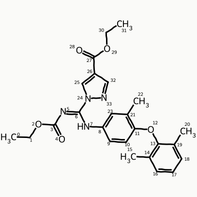 CCOC(=O)/N=C(\Nc1ccc(Oc2c(C)cccc2C)c(C)c1)n1cc(C(=O)OCC)cn1